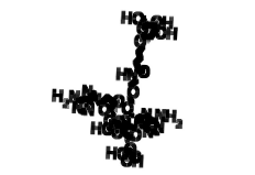 CO[C@H]1C[C@H](n2cnc3c(N)ncnc32)O[C@@H]1COP(=O)(O)O[C@H]1[C@@H](OCOCCOCCNC(=O)CCCCO[C@H]2C[C@@H](O)[C@@H](O)[C@@H](CO)O2)[C@H](n2cnc3c(N)ncnc32)O[C@@H]1COP(=O)(O)O